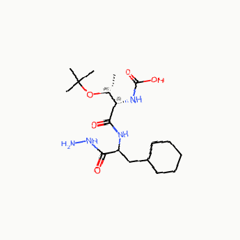 C[C@@H](OC(C)(C)C)[C@H](NC(=O)O)C(=O)NC(CC1CCCCC1)C(=O)NN